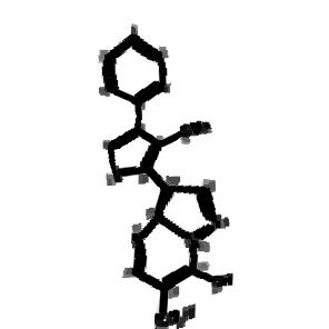 COc1c(-c2ccccc2)csc1-c1cnn2c(O)c(C(=O)O)cnc12